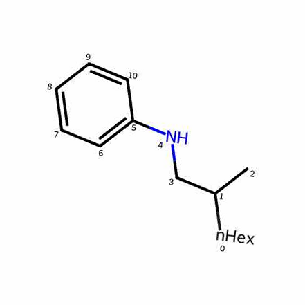 CCCCCCC(C)CNc1ccccc1